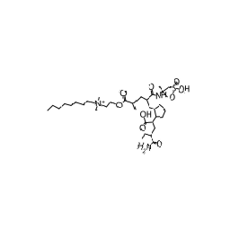 CCCCCCCC[N+](C)(C)CCOC(=O)C(C)CC(CC1CCCC1C(CC(CC)C(N)=O)C(=O)O)C(=O)NC(C)(C)CS(=O)(=O)O